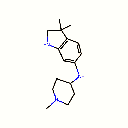 CN1CCC(Nc2ccc3c(c2)NCC3(C)C)CC1